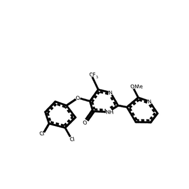 COc1ncccc1-c1nc(C(F)(F)F)c(Oc2ccc(Cl)c(Cl)c2)c(=O)[nH]1